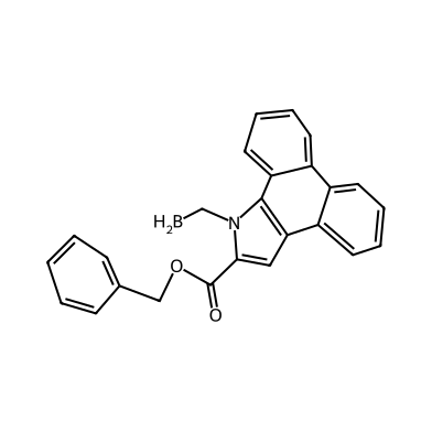 BCn1c(C(=O)OCc2ccccc2)cc2c3ccccc3c3ccccc3c21